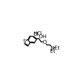 CCN(CC)CCOCC(O)c1cc2ccsc2cc1Cl.Cl